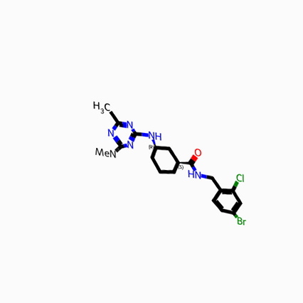 CNc1nc(C)nc(N[C@@H]2CCC[C@H](C(=O)NCc3ccc(Br)cc3Cl)C2)n1